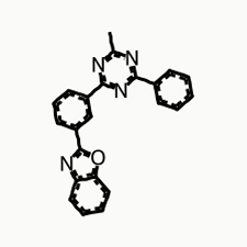 Cc1nc(-c2ccccc2)nc(-c2cccc(-c3nc4ccccc4o3)c2)n1